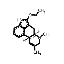 CCSc1[nH]c2cccc3c2c1C[C@@H]1[C@@H]3C=C(C)CN1C